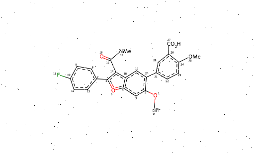 CCCOc1cc2oc(-c3ccc(F)cc3)c(C(=O)NC)c2cc1-c1ccc(OC)c(C(=O)O)c1